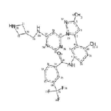 Cc1cc(-c2cc(NC(=O)c3cccc(C(F)(F)F)c3)ccc2C)n(-c2cc(NCC3CNC3)ncn2)n1